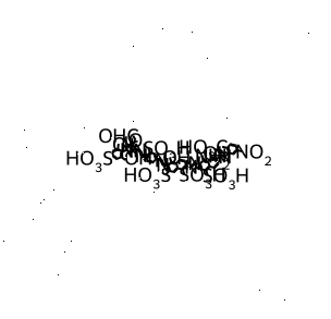 Cc1cc(S(=O)(=O)O)cc(Cl)c1-n1nc(OC=O)c(N=Nc2ccc(N=Nc3c(S(=O)(=O)O)cc4c(S(=O)(=O)O)c(N=Nc5cc(S(=O)(=O)O)c6ccc(N=Nc7cc([N+](=O)[O-])ccc7C(=O)O)c(O)c6c5N)ccc4c3O)cc2S(=O)(=O)O)c1O